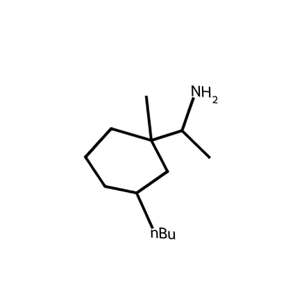 CCCCC1CCCC(C)(C(C)N)C1